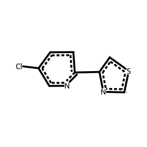 Clc1ccc(-c2cs[c]n2)nc1